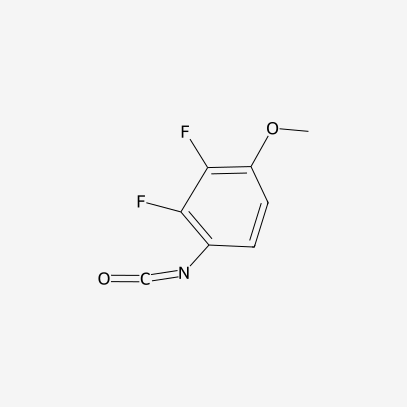 COc1ccc(N=C=O)c(F)c1F